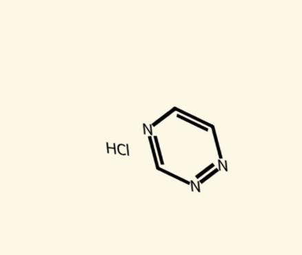 Cl.c1cnncn1